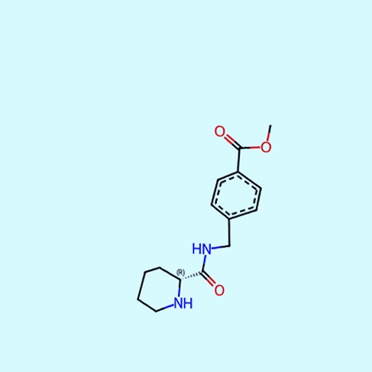 COC(=O)c1ccc(CNC(=O)[C@H]2CCCCN2)cc1